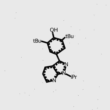 CC(C)n1nc(-c2cc(C(C)(C)C)c(O)c(C(C)(C)C)c2)c2cccnc21